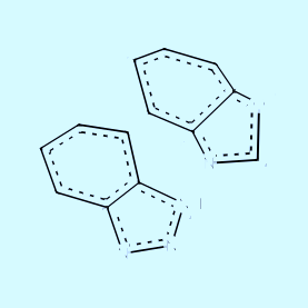 c1ccc2[nH]nnc2c1.c1ccc2ocnc2c1